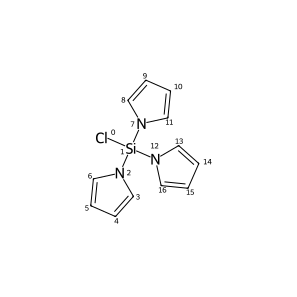 Cl[Si](n1cccc1)(n1cccc1)n1cccc1